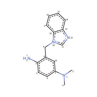 CN(C)c1ccc(N)c(Cn2cnc3ccccc32)c1